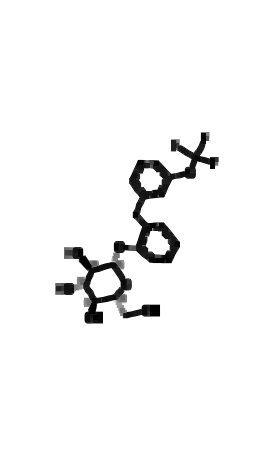 OC[C@H]1O[C@@H](Oc2ccccc2Cc2cccc(OC(F)(F)F)c2)[C@H](O)[C@@H](O)[C@@H]1O